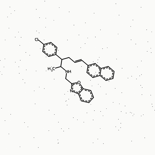 CC(NCc1nc2ccccc2o1)C(C/C=C/c1ccc2ccccc2c1)c1ccc(Cl)cc1